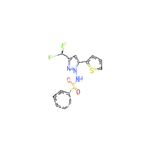 O=S(=O)(Nn1nc(C(F)F)cc1-c1cccs1)c1ccccc1